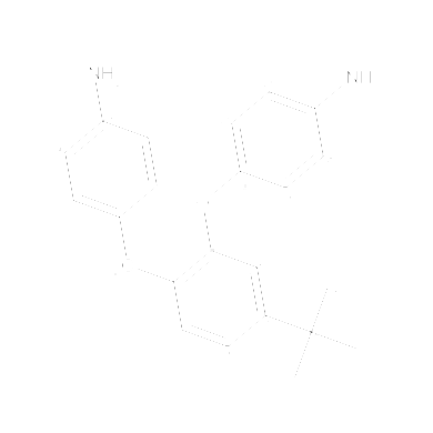 CC(C)(C)c1ccc(Oc2ccc(N)cc2)c(Oc2ccc(N)cc2)c1